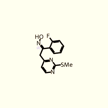 CSc1nccc(C/C(=N/O)c2ccccc2F)n1